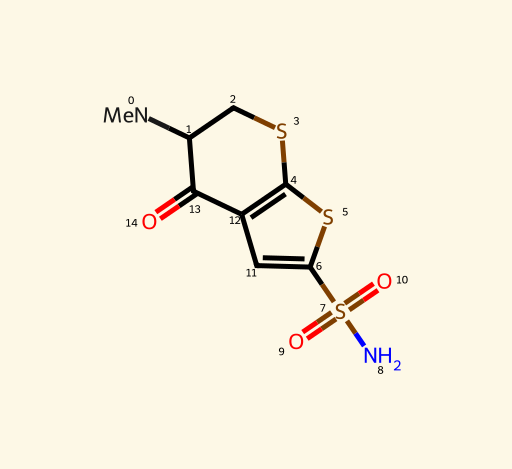 CNC1CSc2sc(S(N)(=O)=O)cc2C1=O